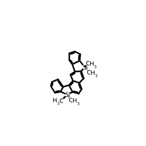 C[Si]1(C)c2ccccc2-c2cc3c4c(ccc3cc21)[Si](C)(C)c1ccccc1-4